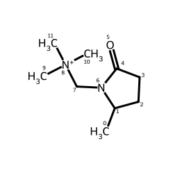 CC1CCC(=O)N1C[N+](C)(C)C